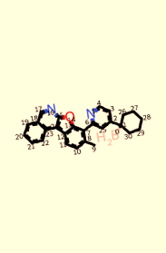 BC1(c2ccnc(-c3c(C)ccc4c3oc3ncc5ccccc5c34)c2)CCCCC1